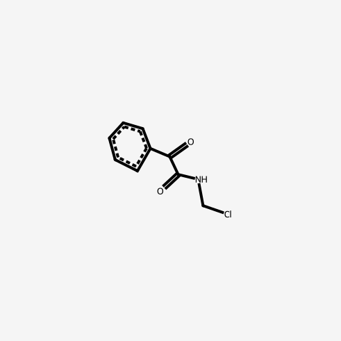 O=C(NCCl)C(=O)c1ccccc1